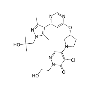 Cc1nn(CC(C)(C)O)c(C)c1-c1cc(O[C@@H]2CCN(c3cnn(CCO)c(=O)c3Cl)C2)ncn1